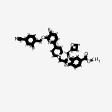 COC(=O)c1ccc2nc(CN3CC=C(c4ccc(F)c(OCc5ccc(C#N)cc5F)n4)CC3)n(C[C@@H]3CCO3)c2c1